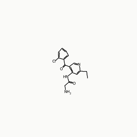 CCc1cc(NC(=O)CN)c(C(=O)c2ccccc2Cl)cn1